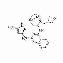 Cc1cc(Nc2cc3ncccc3c(NC3CC4CCC(C3)N(CC3COC3)N4)n2)n[nH]1